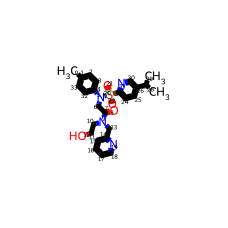 Cc1ccc(N(CC(=O)N(CCO)Cc2ccccn2)S(=O)(=O)c2ccc(C(C)C)cn2)cc1